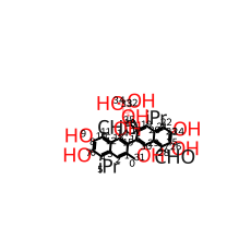 Cc1cc2c(C(C)C)c(O)c(O)c(C=O)c2c(O)c1-c1c(C)cc2c(C(C)C)c(O)c(O)c(C=O)c2c1O.OB(O)O